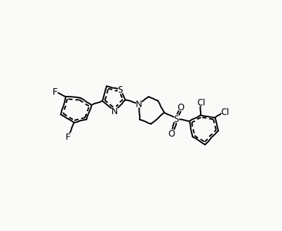 O=S(=O)(c1cccc(Cl)c1Cl)C1CCN(c2nc(-c3cc(F)cc(F)c3)cs2)CC1